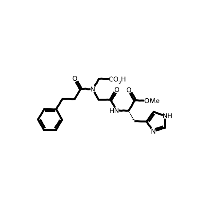 COC(=O)[C@H](Cc1c[nH]cn1)NC(=O)CN(CC(=O)O)C(=O)CCc1ccccc1